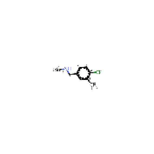 CC(C)(C)NCc1ccc(Cl)c(C(F)(F)F)c1